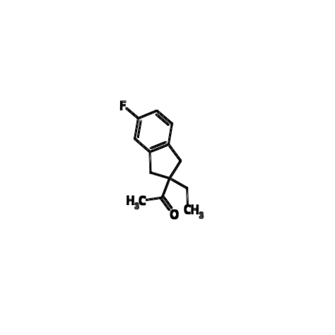 CCC1(C(C)=O)Cc2ccc(F)cc2C1